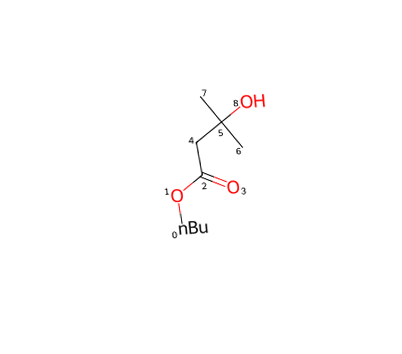 CCCCOC(=O)CC(C)(C)O